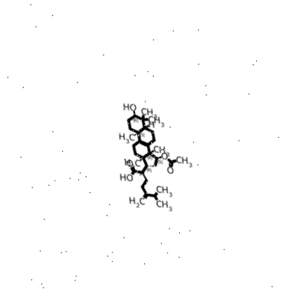 C=C(CC[C@@H](C(=O)O)[C@H]1C[C@H](OC(C)=O)[C@@]2(C)C3=C(CC[C@]12C)[C@@]1(C)CC[C@@H](O)C(C)(C)[C@@H]1CC3)C(C)C